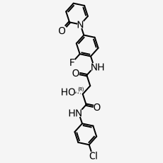 O=C(C[C@@H](O)C(=O)Nc1ccc(Cl)cc1)Nc1ccc(-n2ccccc2=O)cc1F